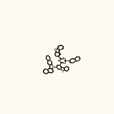 c1ccc2cc(-c3nc(-c4ccc5oc6ccccc6c5c4)nc(-c4cc(-n5c6cc7ccccc7cc6c6c7ccccc7ccc65)cc5sc6ccccc6c45)n3)ccc2c1